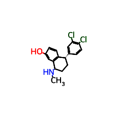 CN[C@H]1CC[C@@H](c2ccc(Cl)c(Cl)c2)c2ccc(O)cc21